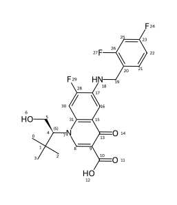 CC(C)(C)[C@@H](CO)n1cc(C(=O)O)c(=O)c2cc(NCc3ccc(F)cc3F)c(F)cc21